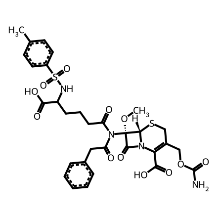 CO[C@@]1(N(C(=O)CCCC(NS(=O)(=O)c2ccc(C)cc2)C(=O)O)C(=O)Cc2ccccc2)C(=O)N2C(C(=O)O)=C(COC(N)=O)CS[C@H]21